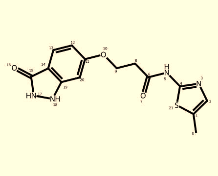 Cc1cnc(NC(=O)CCOc2ccc3c(=O)[nH][nH]c3c2)s1